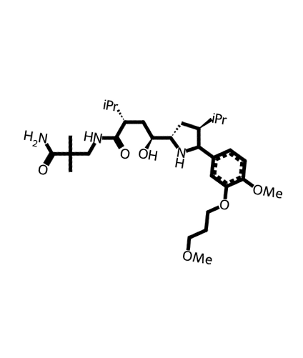 COCCCOc1cc(C2N[C@H]([C@@H](O)C[C@H](C(=O)NCC(C)(C)C(N)=O)C(C)C)C[C@H]2C(C)C)ccc1OC